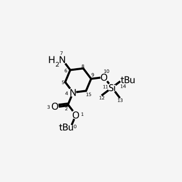 CC(C)(C)OC(=O)N1CC(N)CC(O[Si](C)(C)C(C)(C)C)C1